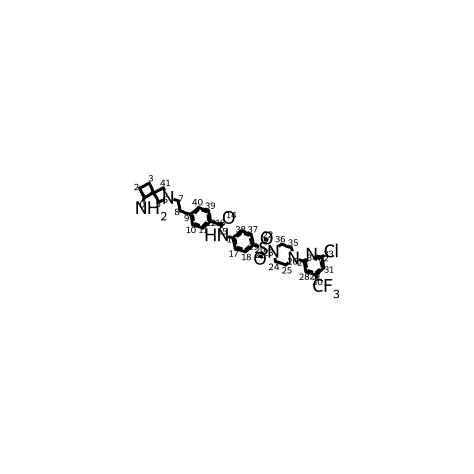 NC1CCC12CN(CCc1ccc(C(=O)Nc3ccc(S(=O)(=O)N4CCN(c5cc(C(F)(F)F)cc(Cl)n5)CC4)cc3)cc1)C2